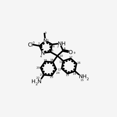 Cn1c(Cl)nc2c1NC(=O)C2(c1ccc(N)cc1)c1ccc(N)cc1